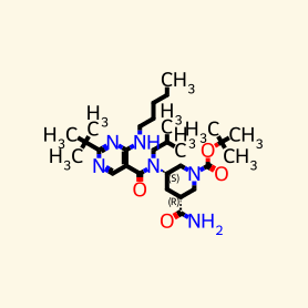 CCCCCNc1nc(C(C)(C)C)ncc1C(=O)N(CC(C)C)[C@H]1C[C@@H](C(N)=O)CN(C(=O)OC(C)(C)C)C1